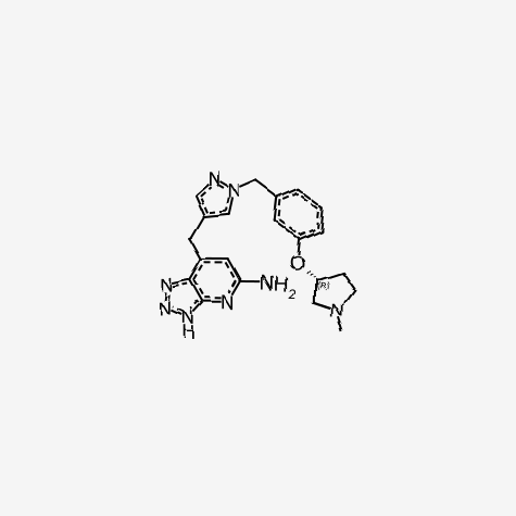 CN1CC[C@@H](Oc2cccc(Cn3cc(Cc4cc(N)nc5[nH]nnc45)cn3)c2)C1